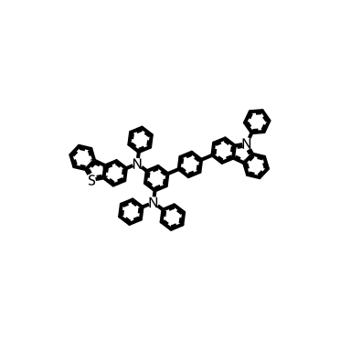 c1ccc(N(c2ccccc2)c2cc(-c3ccc(-c4ccc5c(c4)c4ccccc4n5-c4ccccc4)cc3)cc(N(c3ccccc3)c3ccc4sc5ccccc5c4c3)c2)cc1